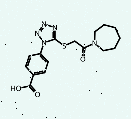 O=C(O)c1ccc(-n2nnnc2SCC(=O)N2CCCCCC2)cc1